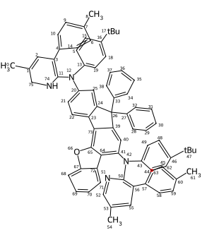 CC1=CC(c2ccc(C)cc2)=C(N(c2ccc(C(C)(C)C)cc2)c2ccc3c(c2)C(c2ccccc2)(c2ccccc2)c2cc(N(c4ccc(C(C)(C)C)cc4)c4ncc(C)cc4-c4ccc(C)cc4)c4c(oc5ccccc54)c2-3)NC1